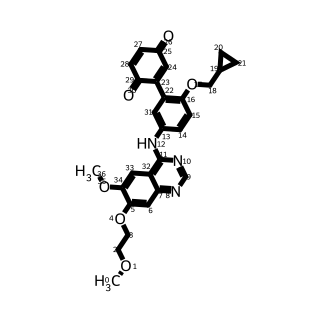 COCCOc1cc2ncnc(Nc3ccc(OCC4CC4)c(C4=CC(=O)C=CC4=O)c3)c2cc1OC